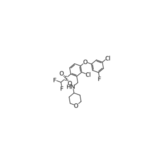 O=S(=O)(c1ccc(Oc2cc(F)cc(Cl)c2)c(Cl)c1CNC1CCOCC1)C(F)F